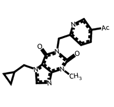 CC(=O)c1ccc(Cn2c(=O)c3c(ncn3CC3CC3)n(C)c2=O)nc1